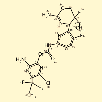 CC(F)(F)c1nc(N)c(OC(=O)Nc2ccc(F)c([C@@]3(C)N=C(N)OCC3(F)F)n2)nc1Cl